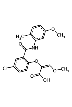 COC=C(Oc1ccc(Cl)cc1C(=O)Nc1cc(OC)ccc1C)C(=O)O